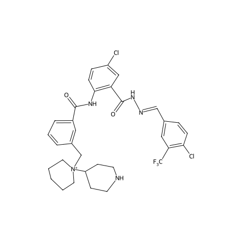 O=C(Nc1ccc(Cl)cc1C(=O)NN=Cc1ccc(Cl)c(C(F)(F)F)c1)c1cccc(C[N+]2(C3CCNCC3)CCCCC2)c1